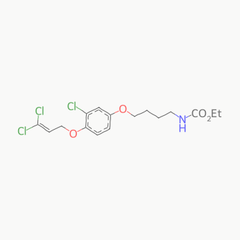 CCOC(=O)NCCCCOc1ccc(OCC=C(Cl)Cl)c(Cl)c1